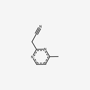 Cc1[c]cnc(CC#N)n1